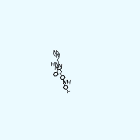 CC(C)c1ccc(CNc2ccc(C3Cc4cnc(NCCCN5CCN(C)CC5)nc4-c4ccccc43)cc2)cc1